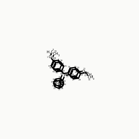 COc1ccc(P(c2ccc(OC)cc2)[C]23[CH]4[CH]5[CH]6[CH]2[Fe]56432789[CH]3[CH]2[CH]7[C]8(P(c2ccc(OC)cc2)c2ccc(OC)cc2)[CH]39)cc1